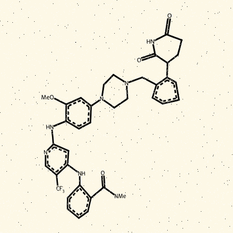 CNC(=O)c1ccccc1Nc1cc(Nc2ccc(N3CCN(Cc4ccccc4C4CCC(=O)NC4=O)CC3)cc2OC)ncc1C(F)(F)F